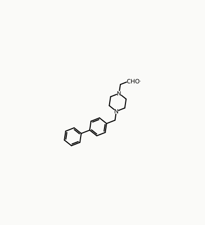 O=[C]CN1CCN(Cc2ccc(-c3ccccc3)cc2)CC1